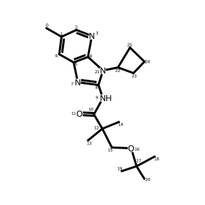 Cc1cnc2c(c1)nc(NC(=O)C(C)(C)COC(C)(C)C)n2C1CCC1